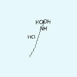 CCCCCCCCCCCCCCCCCCNCCC(O)O.Cl